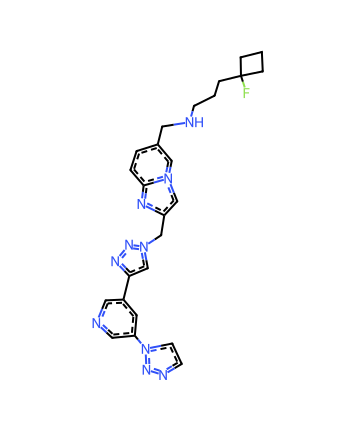 FC1(CCCNCc2ccc3nc(Cn4cc(-c5cncc(-n6ccnn6)c5)nn4)cn3c2)CCC1